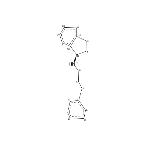 c1ccc(CCCN[C@@H]2CCc3ccccc32)cc1